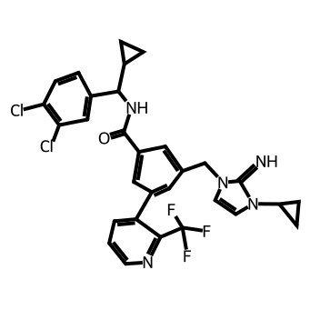 N=c1n(Cc2cc(C(=O)NC(c3ccc(Cl)c(Cl)c3)C3CC3)cc(-c3cccnc3C(F)(F)F)c2)ccn1C1CC1